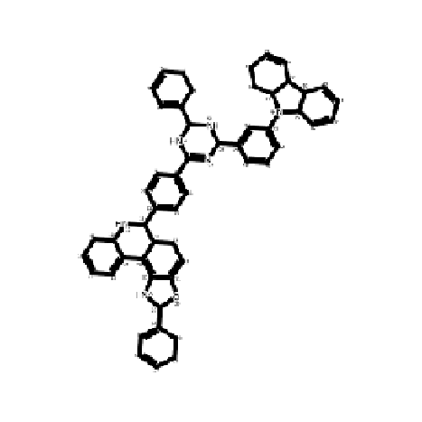 C1=CCCC(C2NC(c3ccc(C4NC5CC=CC=C5C5=C6NC(C7=CC=CCC7)OC6=CCC54)cc3)=NC(c3cccc(N4C5C=CC=CC5C5C=CCCC54)c3)N2)=C1